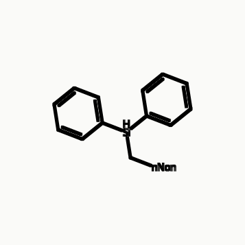 CCCCCCCCCC[SiH](c1ccccc1)c1ccccc1